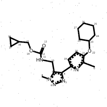 Cc1nc(-c2nnn(C)c2CNC(=O)OCC2CC2)ccc1OC1CCCCC1